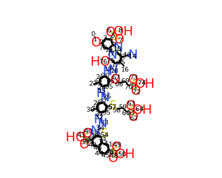 COc1cc(S(=O)(=O)O)c2nc3c(C#N)c(C)c(N=Nc4cc(C)c(N=Nc5cc(C)c(N=Nc6nc7c(S(=O)(=O)O)cc8ccc(S(=O)(=O)O)cc8c7s6)cc5SCCCS(=O)(=O)O)cc4OCCCS(=O)(=O)O)c(O)n3c2c1